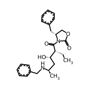 CC[C@@H](C(=O)N1C(=O)OC[C@H]1Cc1ccccc1)[C@@H](O)C[C@@H](C)NCc1ccccc1